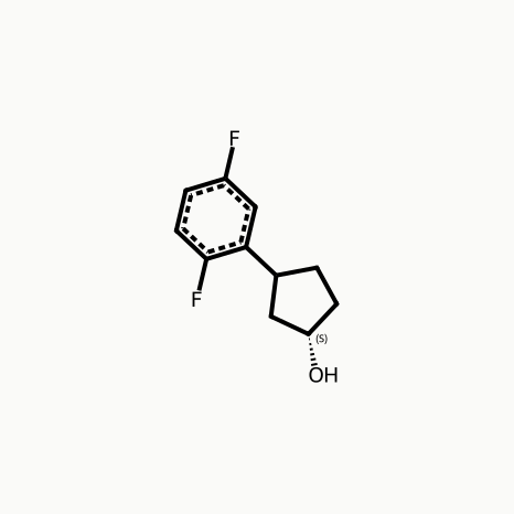 O[C@H]1CCC(c2cc(F)ccc2F)C1